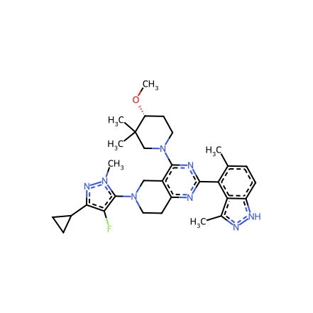 CO[C@@H]1CCN(c2nc(-c3c(C)ccc4[nH]nc(C)c34)nc3c2CN(c2c(F)c(C4CC4)nn2C)CC3)CC1(C)C